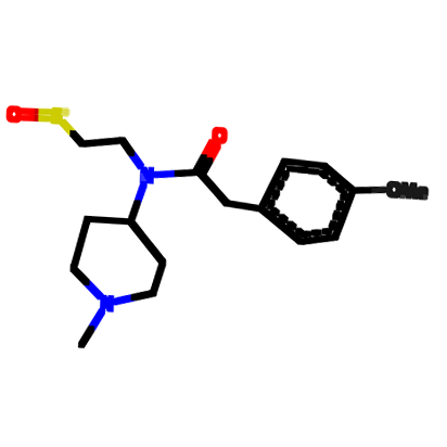 COc1ccc(CC(=O)N(CC[S+]=O)C2CCN(C)CC2)cc1